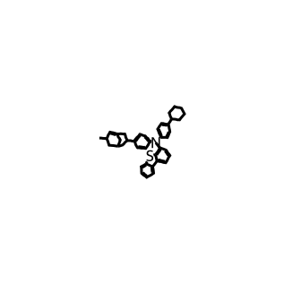 CC1C=C2CC(C1)CC(c1ccc(N(c3ccc(C4CCCCC4)cc3)c3cccc4c3sc3ccccc34)cc1)C2